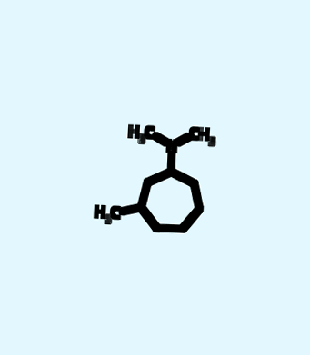 CC1CCCCC(N(C)C)C1